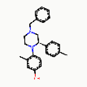 Cc1ccc([C@@H]2CN(Cc3ccccc3)CCN2c2ccc(O)cc2C)cc1